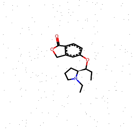 CCC(Oc1ccc2c(c1)COC2=O)[C@@H]1CCCN1CC